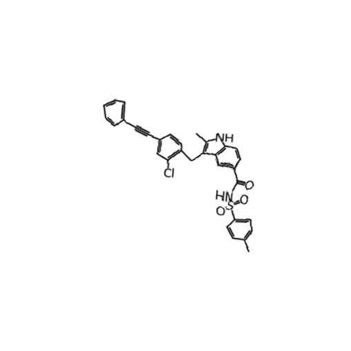 Cc1ccc(S(=O)(=O)NC(=O)c2ccc3[nH]c(C)c(Cc4ccc(C#Cc5ccccc5)cc4Cl)c3c2)cc1